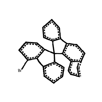 Brc1cccc2c1-c1ccccc1C21c2ccccc2-c2ccc3ccccc3c21